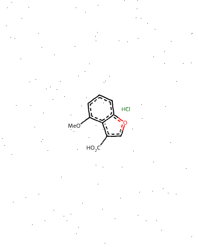 COc1cccc2occ(C(=O)O)c12.Cl